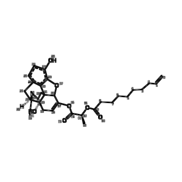 C=CCCCCCCCC(=O)O[C@@H](C)C(=O)OC1=CC[C@@]2(O)[C@H]3Cc4ccc(O)c5c4C2(CCN3C)C1O5